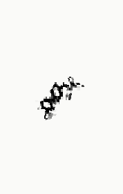 O=C(O)NCc1ccc(-c2cccc(O)c2)cc1